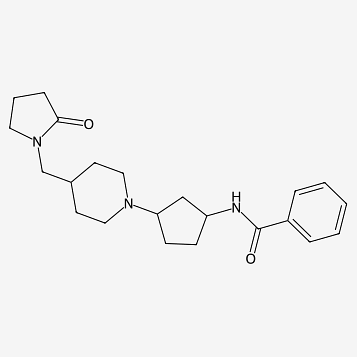 O=C(NC1CCC(N2CCC(CN3CCCC3=O)CC2)C1)c1ccccc1